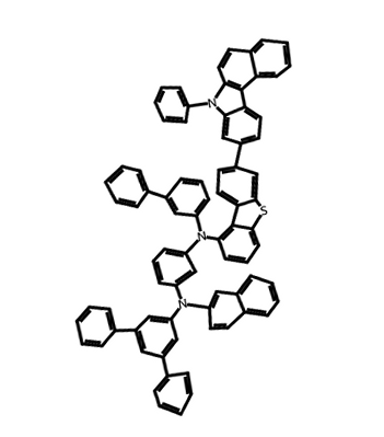 c1ccc(-c2cc(-c3ccccc3)cc(N(c3cccc(N(c4cccc(-c5ccccc5)c4)c4cccc5sc6cc(-c7ccc8c9c%10ccccc%10ccc9n(-c9ccccc9)c8c7)ccc6c45)c3)c3ccc4ccccc4c3)c2)cc1